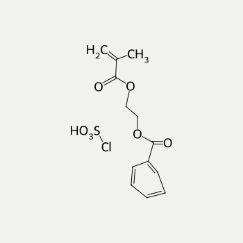 C=C(C)C(=O)OCCOC(=O)c1ccccc1.O=S(=O)(O)Cl